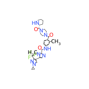 Cc1cc(NC(=O)c2ncc(-c3cn(C4CC4)nc3C(F)(F)F)n2C)ccc1C(=O)N1CCN(C(=O)[C@H]2CCCCN2)CC1